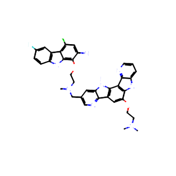 CN(C)CCOc1cc2c3ncc(CN(C)CCOc4c(N)cc(Cl)c5c4[nH]c4ccc(F)cc45)cc3[nH]c2c2c1[nH]c1cccnc12